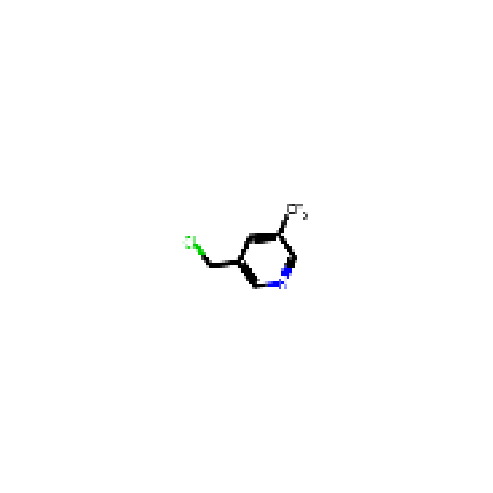 FC(F)(F)c1cncc(CCl)c1